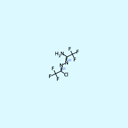 N/C(=N\N=C(/Cl)C(F)(F)F)C(F)(F)F